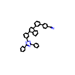 N#Cc1ccc(-c2cccc(-c3ccc(-c4cccc(-c5nc(-c6ccccc6)nc(-c6ccccc6)n5)c4)c4ccccc34)c2)cc1